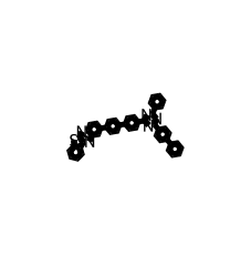 c1ccc(-c2ccc(-c3nc(-c4ccccc4)nc(-c4ccc(-c5ccc(-c6ccc7nc8sc9ccccc9c8nc7c6)cc5)cc4)n3)cc2)cc1